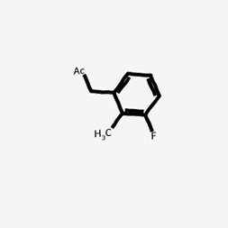 CC(=O)Cc1cccc(F)c1C